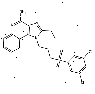 CCc1nc2c(N)nc3ccccc3c2n1CCCS(=O)(=O)c1cc(Cl)cc(Cl)c1